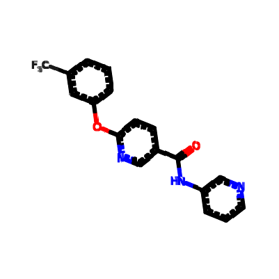 O=C(Nc1cccnc1)c1ccc(Oc2cccc(C(F)(F)F)c2)nc1